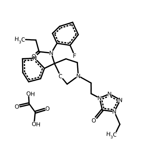 CCC(=O)N(c1ccccc1F)C1(c2ccccn2)CCN(CCn2nnn(CC)c2=O)CC1.O=C(O)C(=O)O